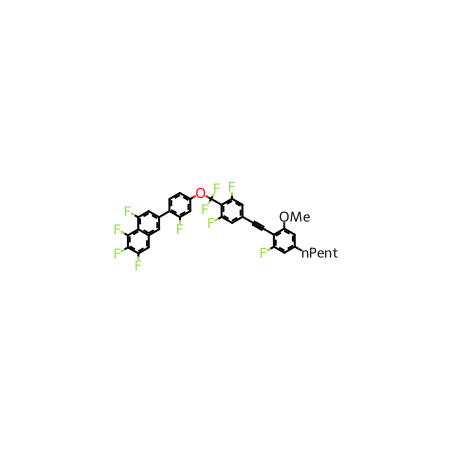 CCCCCc1cc(F)c(C#Cc2cc(F)c(C(F)(F)Oc3ccc(-c4cc(F)c5c(F)c(F)c(F)cc5c4)c(F)c3)c(F)c2)c(OC)c1